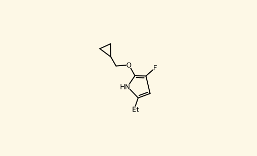 CCc1cc(F)c(OCC2CC2)[nH]1